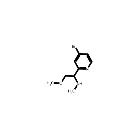 CNC(COC)c1cc(Br)ccn1